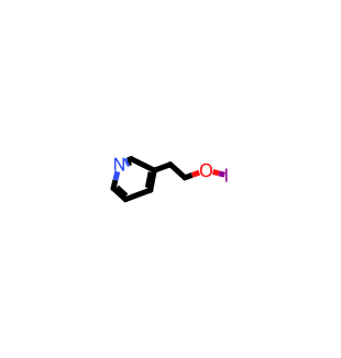 IOCCc1cccnc1